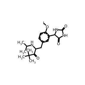 CC(C)NC(Cc1ccc(OI)c(C2NC(=O)NC2=O)c1)C(=O)C(C)(C)C